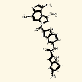 Cc1csc2c1C1C(C=C2O)N(C(=O)c2cc3cc(NC(=O)c4cc5cc(N)ccc5[nH]4)ccc3[nH]2)C[C@H]1CCl